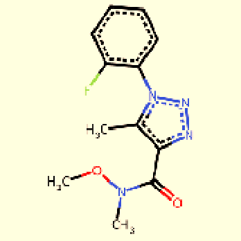 CON(C)C(=O)c1nnn(-c2ccccc2F)c1C